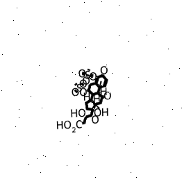 C[C@]12C=CC(=O)C=C1C(OS(C)(=O)=O)C(OS(C)(=O)=O)[C@@H]1[C@@H]2C(=O)C[C@@]2(C)[C@H]1CC[C@]2(O)C(=O)C(O)CC(=O)O